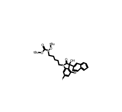 CC(C)(C)OC(=O)N(CCCCCN1C(=O)C(O)(c2ccc3ccccc3c2)c2c(Br)cc(I)cc21)OC(C)(C)C